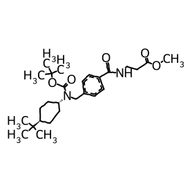 COC(=O)CCNC(=O)c1ccc(CN(C(=O)OC(C)(C)C)[C@H]2CC[C@H](C(C)(C)C)CC2)cc1